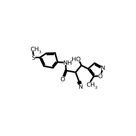 CSc1ccc(NC(=O)C(C#N)C(O)c2cnoc2C)cc1